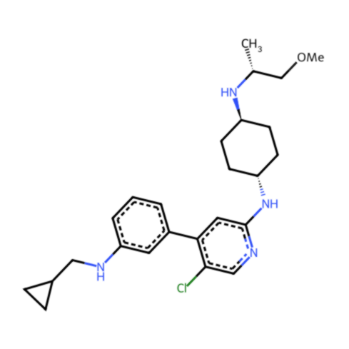 COC[C@@H](C)N[C@H]1CC[C@H](Nc2cc(-c3cccc(NCC4CC4)c3)c(Cl)cn2)CC1